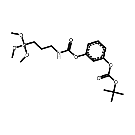 CO[Si](CCCNC(=O)Oc1cccc(OC(=O)OC(C)(C)C)c1)(OC)OC